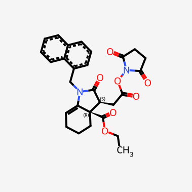 CCOC(=O)[C@@]12CCCC=C1N(Cc1cccc3ccccc13)C(=O)[C@H]2CC(=O)ON1C(=O)CCC1=O